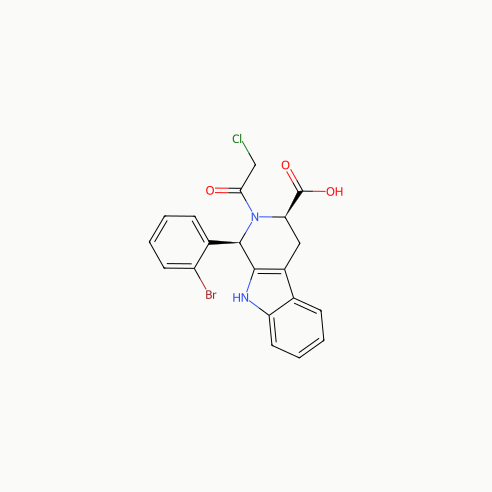 O=C(O)[C@H]1Cc2c([nH]c3ccccc23)[C@@H](c2ccccc2Br)N1C(=O)CCl